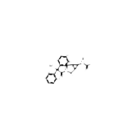 CN(C(=O)O)C1C2CN(C(=O)C(O)(c3ccccc3)c3ccccc3)CC21